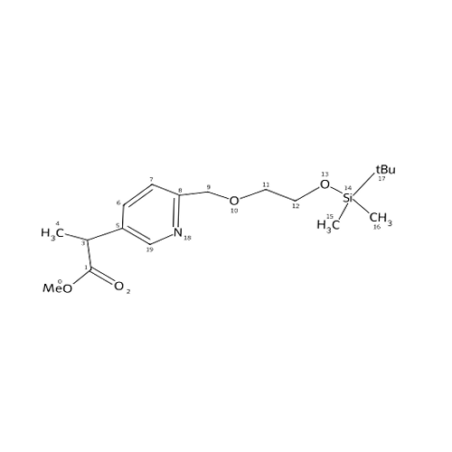 COC(=O)C(C)c1ccc(COCCO[Si](C)(C)C(C)(C)C)nc1